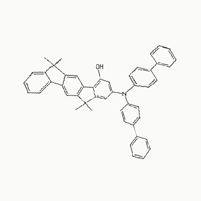 CC1(C)c2ccccc2-c2cc3c(cc21)-c1c(O)cc(N(c2ccc(-c4ccccc4)cc2)c2ccc(-c4ccccc4)cc2)cc1C3(C)C